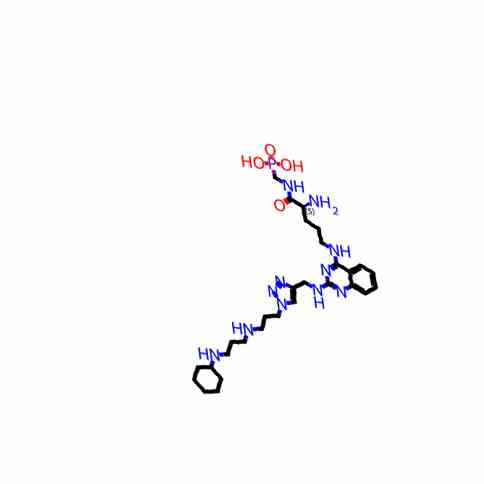 N[C@@H](CCCNc1nc(NCc2cn(CCCNCCCNC3CCCCC3)nn2)nc2ccccc12)C(=O)NCP(=O)(O)O